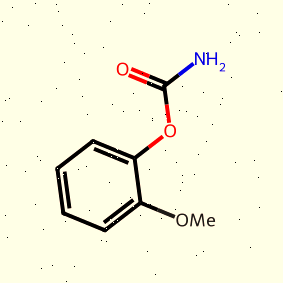 COc1ccccc1OC(N)=O